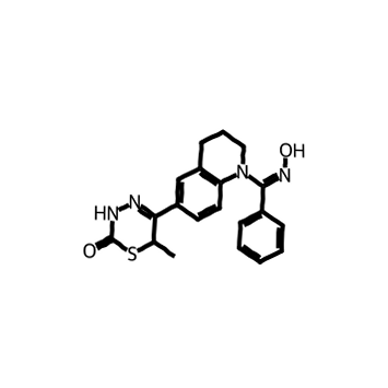 CC1SC(=O)NN=C1c1ccc2c(c1)CCCN2/C(=N\O)c1ccccc1